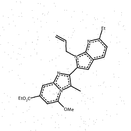 C=CCn1c(-c2nc3cc(C(=O)OCC)cc(OC)n3c2C)cc2ccc(CC)nc21